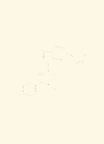 Cc1cn(-c2ccn3ncc(C(=O)N[C@@H](c4ccc(OC(F)(F)F)cc4)C(C)(C)O)c3n2)cn1